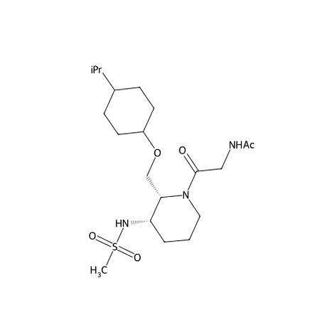 CC(=O)NCC(=O)N1CCC[C@H](NS(C)(=O)=O)[C@@H]1COC1CCC(C(C)C)CC1